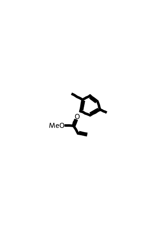 C=CC(=O)OC.Cc1ccc(C)cc1